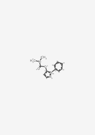 CN(C)C(=O)Oc1ccnn1-c1ccccc1